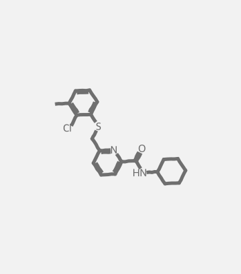 Cc1cccc(SCc2cccc(C(=O)NC3CCCCC3)n2)c1Cl